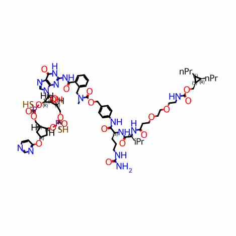 CCC[C@@H]1[C@H](CCC)[C@@H]1COC(=O)NCCOCCOCCC(=O)N[C@H](C(=O)N[C@@H](CCCNC(N)=O)C(=O)Nc1ccc(COC(=O)N(C)Cc2ccccc2C(=O)Nc2nc3c(ncn3[C@@H]3O[C@H]4CO[P@@](=O)(S)O[C@H]5C[C@H](Oc6ccncn6)C[C@@H]5CO[P@@](=O)(S)O[C@@H]3[C@@H]4O)c(=O)[nH]2)cc1)C(C)C